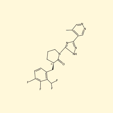 Cc1cnncc1-c1n[nH]c(N2CCC[C@H](Cc3ccc(F)c(F)c3C(F)F)C2=O)n1